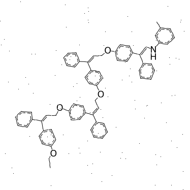 CCOc1ccc(/C(=C\COc2ccc(/C(=C\COc3ccc(/C(=C\COc4ccc(C(=CNc5cccc(C)c5)c5ccccc5)cc4)c4ccccc4)cc3)c3ccccc3)cc2)c2ccccc2)cc1